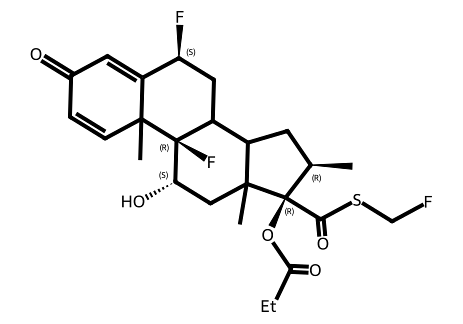 CCC(=O)O[C@]1(C(=O)SCF)[C@H](C)CC2C3C[C@H](F)C4=CC(=O)C=CC4(C)[C@@]3(F)[C@@H](O)CC21C